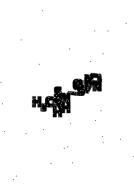 CNC(=S)NCC[S+]([O-])Cc1ncccn1